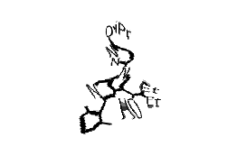 CCC(CC)C(O)c1cn(-c2ccc(OC(C)C)nn2)c2cnc(-c3c(C)cccc3C)cc12